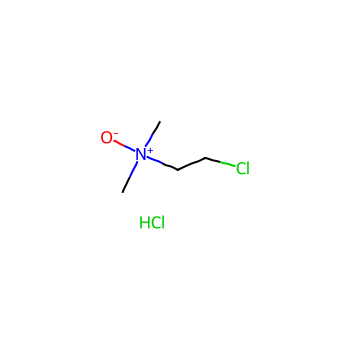 C[N+](C)([O-])CCCl.Cl